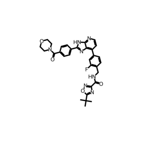 CC(C)(C)c1nc(C(=O)NCc2ccc(-c3ccnc4[nH]c(-c5ccc(C(=O)N6CCOCC6)cc5)nc34)cc2F)no1